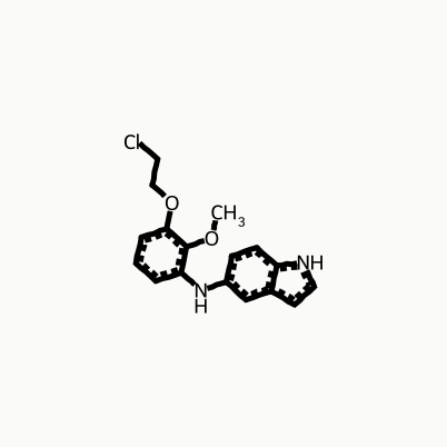 COc1c(Nc2ccc3[nH]ccc3c2)cccc1OCCCl